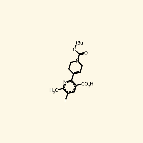 Cc1nc(C2=CCN(C(=O)OC(C)(C)C)CC2)c(C(=O)O)cc1F